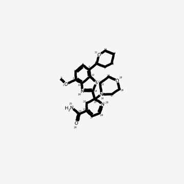 COc1ccc(C2CCCCO2)c2sc(C3(N4CCOCC4)CC(C(N)=O)=CC=N3)nc12